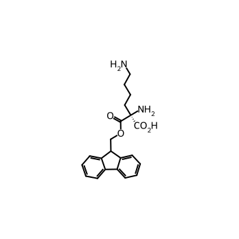 NCCCC[C@](N)(C(=O)O)C(=O)OCC1c2ccccc2-c2ccccc21